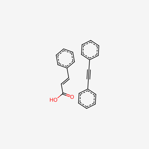 C(#Cc1ccccc1)c1ccccc1.O=C(O)C=Cc1ccccc1